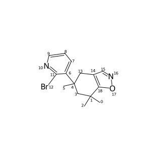 CC1(C)CC(C)(c2cccnc2Br)Cc2cnoc21